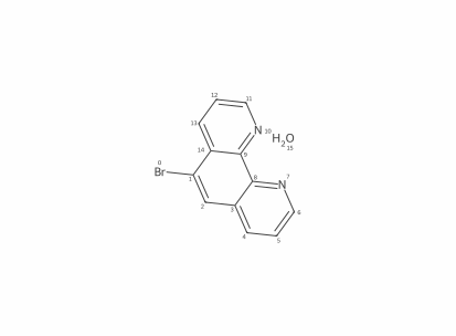 Brc1cc2cccnc2c2ncccc12.O